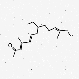 CC/C(C)=C/CCC(CC)C/C=C/C(C)=C/C(C)=O